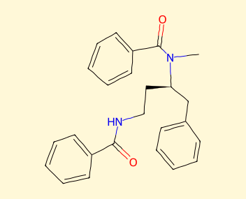 CN(C(=O)c1ccccc1)[C@H](CCNC(=O)c1ccccc1)Cc1ccccc1